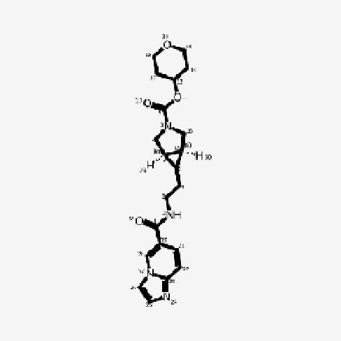 O=C(NCCC1[C@H]2CN(C(=O)OC3CCOCC3)C[C@@H]12)c1ccc2nccn2c1